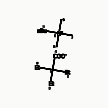 CCC(CC)(CC)C(=O)[O-].CCCC[N+](C)(C)C